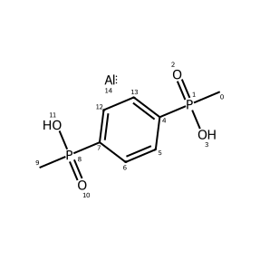 CP(=O)(O)c1ccc(P(C)(=O)O)cc1.[Al]